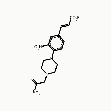 CCOC(=O)/C=C/c1ccc(N2CCN(CC(N)=O)CC2)c([N+](=O)[O-])c1